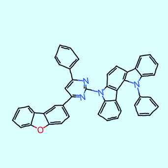 c1ccc(-c2cc(-c3ccc4oc5ccccc5c4c3)nc(-n3c4ccccc4c4c3ccc3c5ccccc5n(-c5ccccc5)c34)n2)cc1